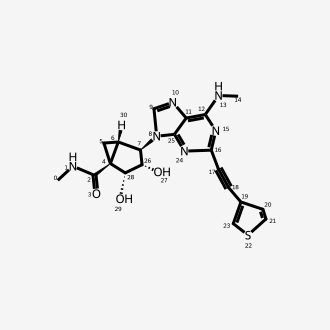 CNC(=O)[C@@]12C[C@@H]1[C@@H](n1cnc3c(NC)nc(C#Cc4ccsc4)nc31)[C@H](O)[C@@H]2O